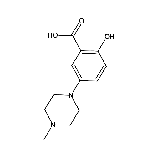 CN1CCN(c2ccc(O)c(C(=O)O)c2)CC1